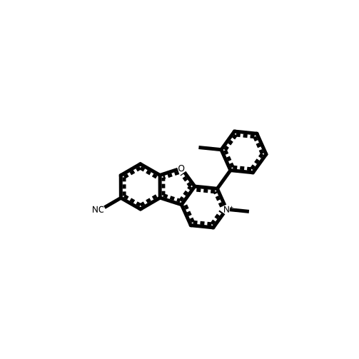 Cc1ccccc1-c1c2oc3ccc(C#N)cc3c2cc[n+]1C